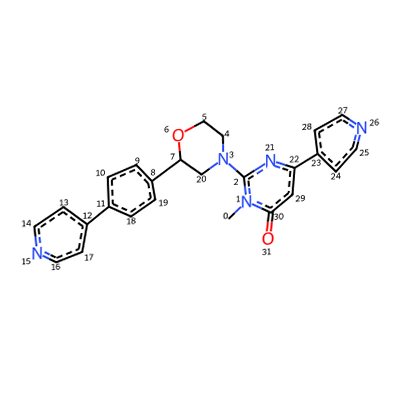 Cn1c(N2CCOC(c3ccc(-c4ccncc4)cc3)C2)nc(-c2ccncc2)cc1=O